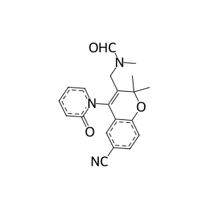 CN(C=O)CC1=C(n2ccccc2=O)c2cc(C#N)ccc2OC1(C)C